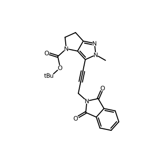 Cn1nc2c(c1C#CCN1C(=O)c3ccccc3C1=O)N(C(=O)OC(C)(C)C)CC2